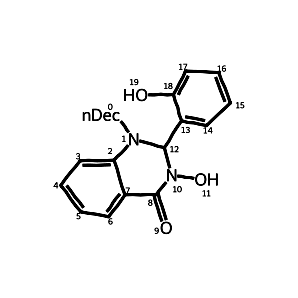 CCCCCCCCCCN1c2ccccc2C(=O)N(O)C1c1ccccc1O